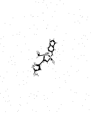 Cc1cc(C(CS(=O)(=O)Cc2ccc3sccc3c2)N(O)C=O)no1